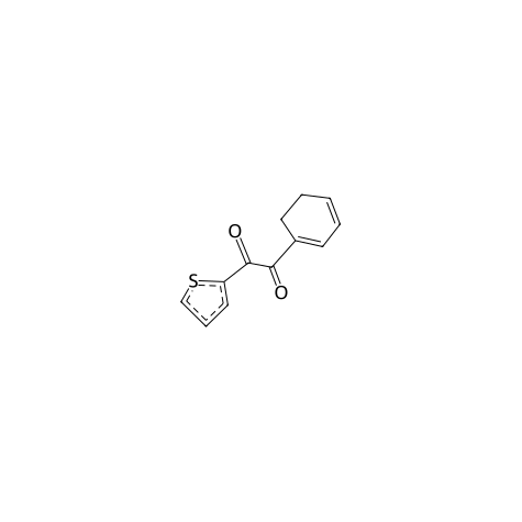 O=C(C(=O)c1cccs1)C1=CC=CCC1